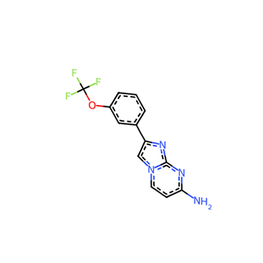 Nc1ccn2cc(-c3cccc(OC(F)(F)F)c3)nc2n1